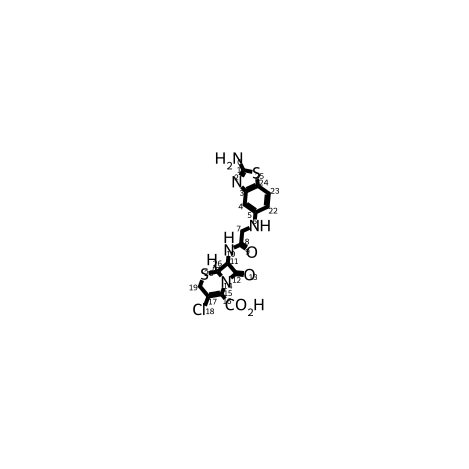 Nc1nc2cc(NCC(=O)NC3C(=O)N4C(C(=O)O)=C(Cl)CS[C@@H]34)ccc2s1